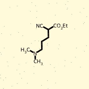 CCOC(=O)C(C#N)CCCN(C)C